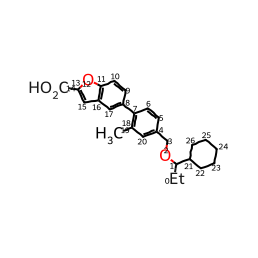 CCC(OCc1ccc(-c2ccc3oc(C(=O)O)cc3c2)c(C)c1)C1CCCCC1